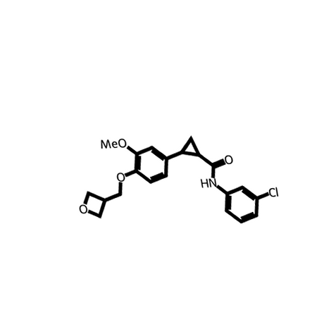 COc1cc(C2CC2C(=O)Nc2cccc(Cl)c2)ccc1OCC1COC1